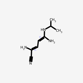 CC(C)N/C(N)=C/C=C(\N)C#N